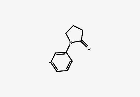 O=C1CCCN1c1c[c]ccc1